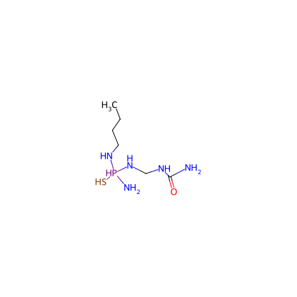 CCCCN[PH](N)(S)NCNC(N)=O